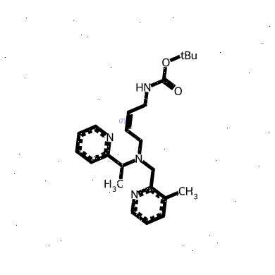 Cc1cccnc1CN(C/C=C\CNC(=O)OC(C)(C)C)C(C)c1ccccn1